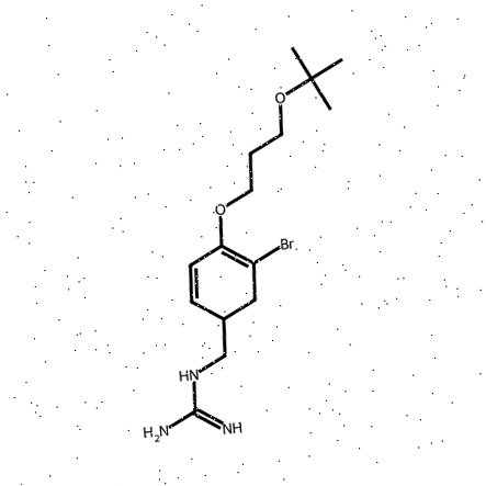 CC(C)(C)OCCCOC1=C(Br)CC(CNC(=N)N)C=C1